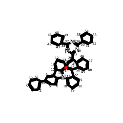 c1ccc(-c2ccc3c(c2)c2ccccc2n3-c2ccccc2-c2ccc(-c3nc(-c4ccccc4)nc(-c4ccccc4)n3)c3ccccc23)cc1